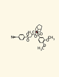 COc1ccc(S(=O)(=O)N(C)C2C3CCC2CN(CCCS(=O)(=O)c2ccc(C#N)cc2)C3)cc1OC